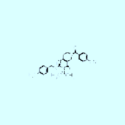 CN(C)n1c(NCc2ccc(C(F)(F)F)cc2)nc2c(c1=O)CN(C(=O)c1ccc(C#N)cc1)CC2